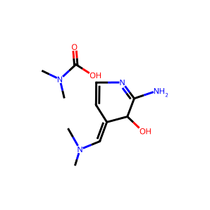 CN(C)C(=O)O.CN(C)C=C1C=CN=C(N)C1O